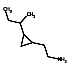 CCC(C)C1CC1CCN